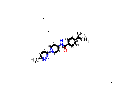 Cc1ccc(N2CCC(NC(=O)c3ccc(C(C)C)cc3)CC2)nn1